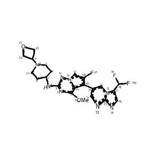 COc1nc(NC2CCN(C3COC3)CC2)nn2cc(F)c(-c3cnc4ncc(C(F)F)n4c3)c12